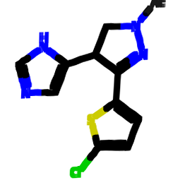 CC(=O)N1CC(c2cnc[nH]2)C(c2ccc(Cl)s2)=N1